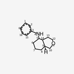 c1ccc(NC2CCC[C@H]3COCCC23)cc1